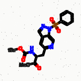 COC(=O)[C@H](Cc1cc2cnn(S(=O)(=O)c3ccccc3)c2cn1)NC(=O)OC(C)(C)C